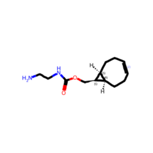 NCCNC(=O)OC[C@@H]1[C@@H]2CC/C=C\CC[C@@H]21